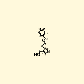 OCc1cncn1CCOCc1ccccc1